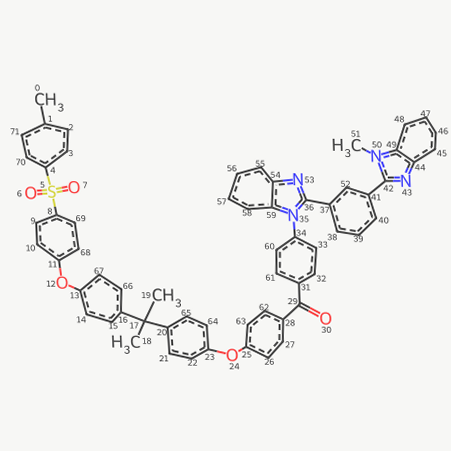 Cc1ccc(S(=O)(=O)c2ccc(Oc3ccc(C(C)(C)c4ccc(Oc5ccc(C(=O)c6ccc(-n7c(-c8cccc(-c9nc%10ccccc%10n9C)c8)nc8ccccc87)cc6)cc5)cc4)cc3)cc2)cc1